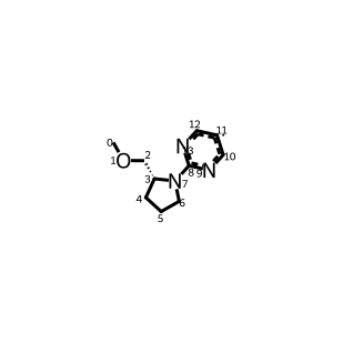 COC[C@H]1CCCN1c1nc[c]cn1